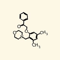 Cc1cc(C)c(CN2CCOCC2)c(OCC(=O)c2ccccc2)c1